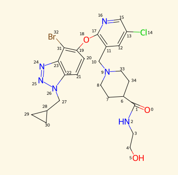 O=C(NCCO)C1CCN(Cc2cc(Cl)cnc2Oc2ccc3c(nnn3CC3CC3)c2Br)CC1